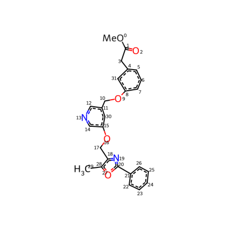 COC(=O)Cc1cccc(OCc2cncc(OCc3nc(-c4ccccc4)oc3C)c2)c1